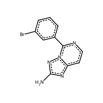 Nc1nc2ccnc(-c3cccc(Br)c3)n2n1